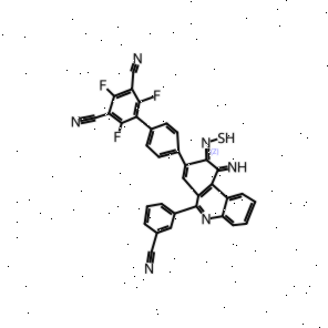 N#Cc1cccc(-c2nc3ccccc3c3c2C=C(c2ccc(-c4c(F)c(C#N)c(F)c(C#N)c4F)cc2)/C(=N/S)C3=N)c1